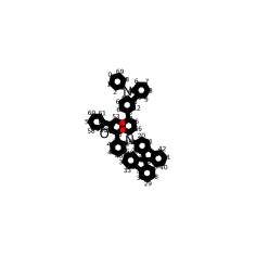 c1ccc(-n2c3ccccc3c3cc(-c4ccc(N(c5ccc6c(c5)C5(c7ccccc7-c7ccccc75)c5ccccc5-6)c5ccccc5-c5cccc6c5oc5ccccc56)cc4)ccc32)cc1